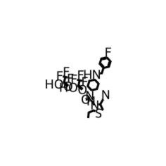 CCC1SCC(C#N)N1n1on1C1CCC(NCc2ccc(F)cc2)CC1.O=C(O)C(F)(F)F.O=C(O)C(F)(F)F